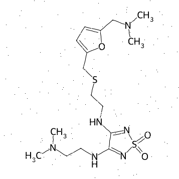 CN(C)CCNC1=NS(=O)(=O)N=C1NCCSCc1ccc(CN(C)C)o1